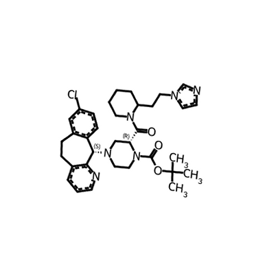 CC(C)(C)OC(=O)N1CCN([C@H]2c3ccc(Cl)cc3CCc3cccnc32)C[C@@H]1C(=O)N1CCCCC1CCn1ccnc1